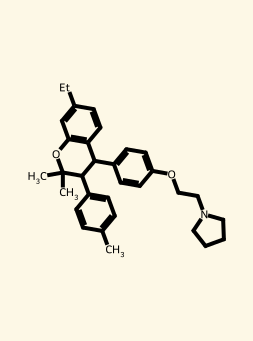 CCc1ccc2c(c1)OC(C)(C)C(c1ccc(C)cc1)C2c1ccc(OCCN2CCCC2)cc1